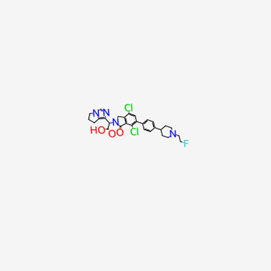 O=C(O)C(c1ncn2c1CCC2)N1Cc2c(Cl)cc(-c3ccc(C4CCN(CCF)CC4)cc3)c(Cl)c2C1=O